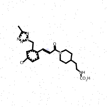 Cc1nnn(Cc2cc(Cl)ccc2/C=C/C(=O)N2CCC(CCNC(=O)O)CC2)n1